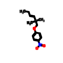 CC/C=C/[Si](C)(C)COc1ccc([N+](=O)[O-])cc1